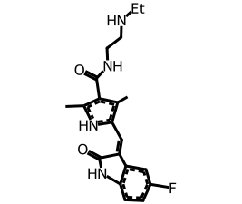 CCNCCNC(=O)c1c(C)[nH]c(C=C2C(=O)Nc3ccc(F)cc32)c1C